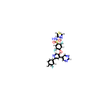 Cc1ccc(-c2cc(-c3cncnc3)c(Oc3cc(F)c(S(=O)(=O)Nc4cscn4)cc3F)cn2)cc1F